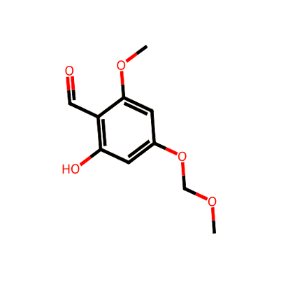 COCOc1cc(O)c(C=O)c(OC)c1